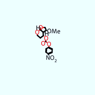 CO[C@H]1CO[C@@H]2OCC[C@H](OC(=O)Oc3ccc([N+](=O)[O-])cc3)[C@@H]21